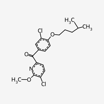 COc1nc(C(=O)c2ccc(OCCCC(C)C)c(Cl)c2)ccc1Cl